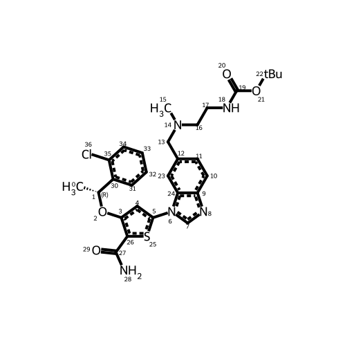 C[C@@H](Oc1cc(-n2cnc3ccc(CN(C)CCNC(=O)OC(C)(C)C)cc32)sc1C(N)=O)c1ccccc1Cl